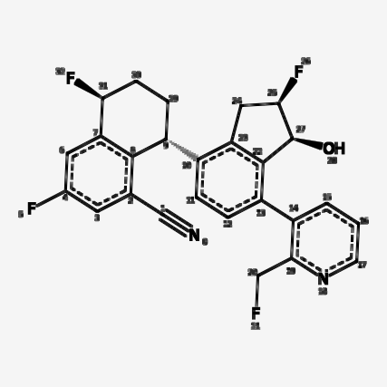 N#Cc1cc(F)cc2c1[C@@H](c1ccc(-c3cccnc3CF)c3c1C[C@@H](F)[C@H]3O)CC[C@@H]2F